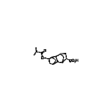 C=C(C)C(=O)OC1CC2CC1C1C3CC(C(=O)O)C(C3)C21